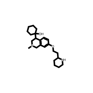 CN1Cc2cc(OCCC3CCCCN3)ccc2C(C2(O)CCCCC2)C1